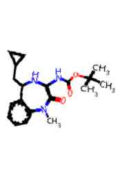 CN1C(=O)C(NC(=O)OC(C)(C)C)NC(CC2CC2)c2ccccc21